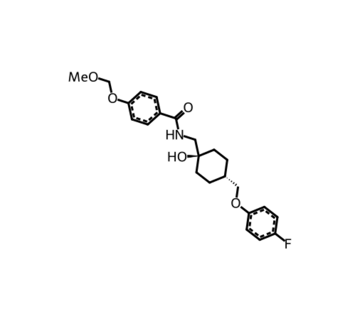 COCOc1ccc(C(=O)NC[C@]2(O)CC[C@H](COc3ccc(F)cc3)CC2)cc1